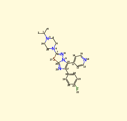 CC(C)N1CCN(c2nn3c(-c4ccncc4)c(-c4ccc(F)cc4)nc3s2)CC1